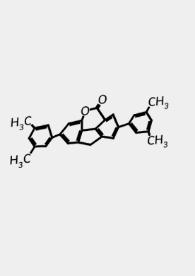 Cc1cc(C)cc(-c2cc3c4c(c2)oc(=O)c2cc(-c5cc(C)cc(C)c5)cc(c24)C3)c1